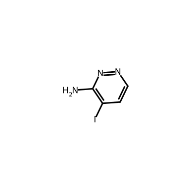 Nc1nnccc1I